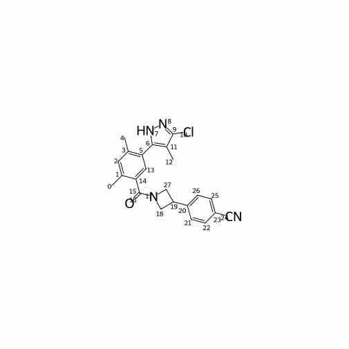 Cc1cc(C)c(-c2[nH]nc(Cl)c2C)cc1C(=O)N1CC(c2ccc(C#N)cc2)C1